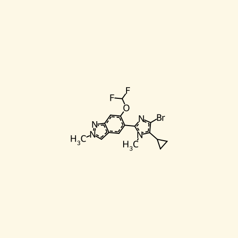 Cn1cc2cc(-c3nc(Br)c(C4CC4)n3C)c(OC(F)F)cc2n1